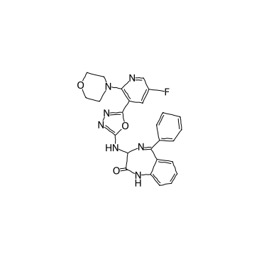 O=C1Nc2ccccc2C(c2ccccc2)=NC1Nc1nnc(-c2cc(F)cnc2N2CCOCC2)o1